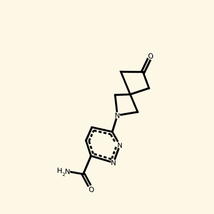 NC(=O)c1ccc(N2CC3(CC(=O)C3)C2)nn1